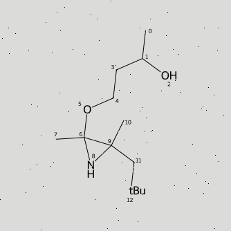 CC(O)CCOC1(C)NC1(C)CC(C)(C)C